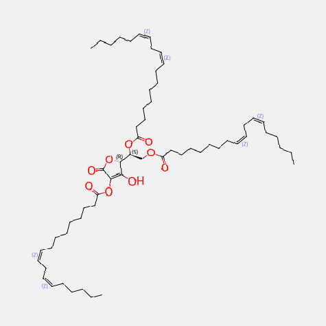 CCCCC/C=C\C/C=C\CCCCCCCC(=O)OC[C@H](OC(=O)CCCCCCC/C=C\C/C=C\CCCCC)[C@H]1OC(=O)C(OC(=O)CCCCCCC/C=C\C/C=C\CCCCC)=C1O